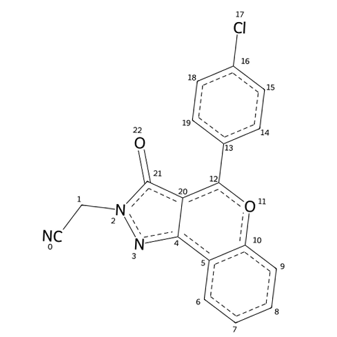 N#CCn1nc2c3ccccc3oc(-c3ccc(Cl)cc3)c-2c1=O